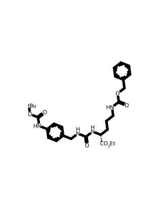 CCOC(=O)[C@@H](CCCNC(=O)OCc1ccccc1)NC(=O)NCc1ccc(NC(=O)OC(C)(C)C)cc1